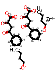 CCCC[O-].CCCC[O-].O=C([O-])C(=O)CC(=O)c1ccccc1.O=C([O-])C(=O)CC(=O)c1ccccc1.[Zr+4]